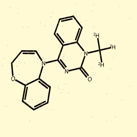 [2H]C([2H])([2H])n1c(=O)nc(N2C=CCOc3ccccc32)c2ccccc21